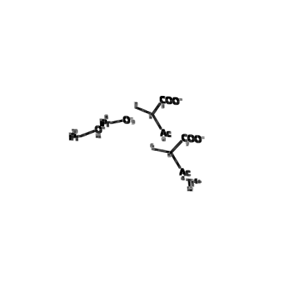 CC(=O)C(C)C(=O)[O-].CC(=O)C(C)C(=O)[O-].CC(C)[O-].CC(C)[O-].[Ti+4]